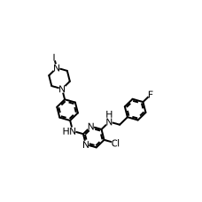 Fc1ccc(CNc2nc(Nc3ccc(N4CCN(I)CC4)cc3)ncc2Cl)cc1